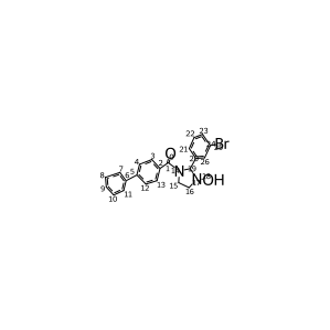 O=C(c1ccc(-c2ccccc2)cc1)N1CCN(O)C1c1cccc(Br)c1